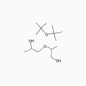 CC(C)(C)OC(C)(C)C.CC(O)COC(C)CO